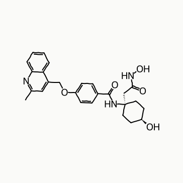 Cc1cc(COc2ccc(C(=O)N[C@]3(CC(=O)NO)CC[C@H](O)CC3)cc2)c2ccccc2n1